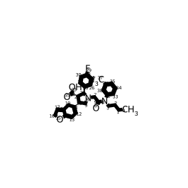 CCCCN(C(=O)CN1C[C@H](C2=CC=C3OCC=C3C2)[C@H](C(=O)O)[C@H]1c1ccc(F)cc1)c1cccc(C)c1